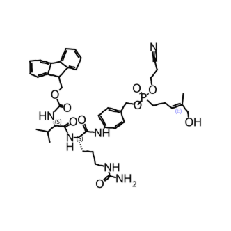 C/C(=C\CCP(=O)(OCCC#N)OCc1ccc(NC(=O)[C@H](CCCNC(N)=O)NC(=O)[C@@H](NC(=O)OCC2c3ccccc3-c3ccccc32)C(C)C)cc1)CO